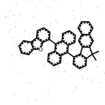 CC1(C)c2cc3ccccc3cc2-c2c(-c3c4ccccc4c(-c4cccc5c4oc4ccccc45)c4ccccc34)cccc21